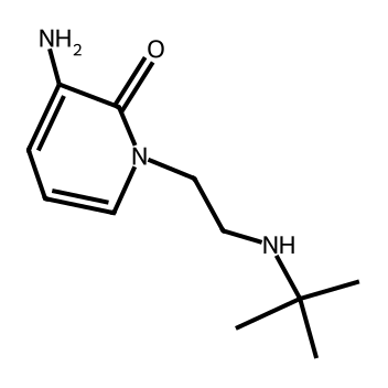 CC(C)(C)NCCn1cccc(N)c1=O